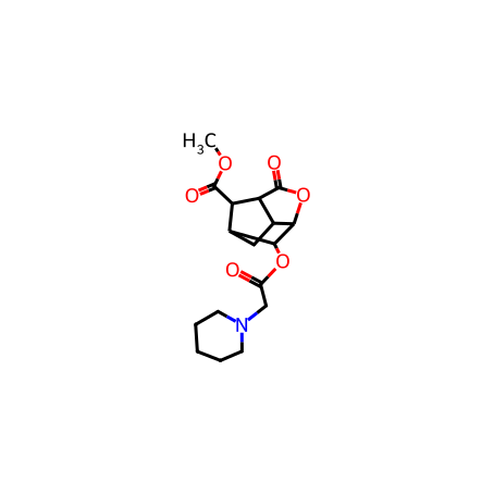 COC(=O)C1C2CC3C(OC(=O)C31)C2OC(=O)CN1CCCCC1